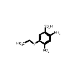 Nc1cc([N+](=O)[O-])c(SCC(=O)O)cc1S(=O)(=O)O